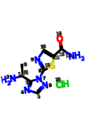 C[C@H](N)c1ncnn1-c1ncc(C(N)=O)s1.Cl